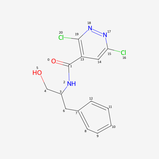 O=C(NC(CO)Cc1ccccc1)c1cc(Cl)nnc1Cl